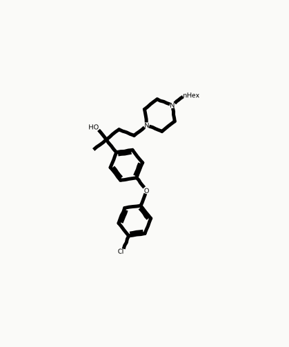 CCCCCCN1CCN(CCC(C)(O)c2ccc(Oc3ccc(Cl)cc3)cc2)CC1